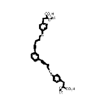 CCOC(Cc1ccc(SCC=CC#Cc2cccc(C#CC=CCSc3ccc(CC(OCC)C(=O)O)cc3)c2)cc1)C(=O)O